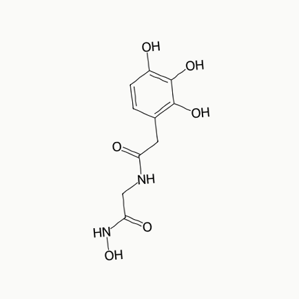 O=C(CNC(=O)Cc1ccc(O)c(O)c1O)NO